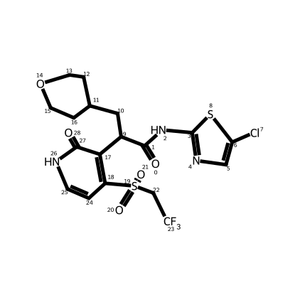 O=C(Nc1ncc(Cl)s1)C(CC1CCOCC1)c1c(S(=O)(=O)CC(F)(F)F)cc[nH]c1=O